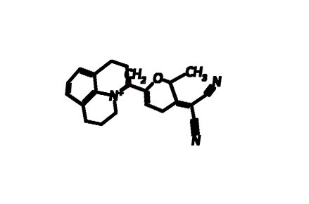 C=C(C1=CCC(=C(C#N)C#N)C(C)O1)[N+]12CCCc3cccc(c31)CCC2